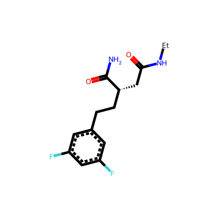 CCNC(=O)C[C@H](CCc1cc(F)cc(F)c1)C(N)=O